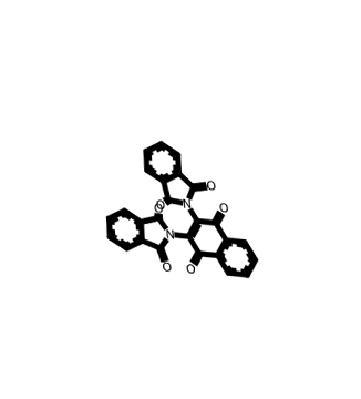 O=C1C(N2C(=O)c3ccccc3C2=O)=C(N2C(=O)c3ccccc3C2=O)C(=O)c2ccccc21